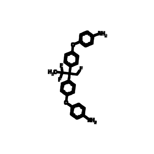 CC(F)(F)C(CF)(c1ccc(Oc2ccc(N)cc2)cc1)c1ccc(Oc2ccc(N)cc2)cc1